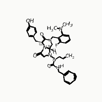 C=CCN(C(=O)NCc1ccccc1)N1CC(=O)N2[C@@H](Cc3ccc(O)cc3)C(=O)N(Cc3c(F)cccc3N(C)C)C[C@@H]21